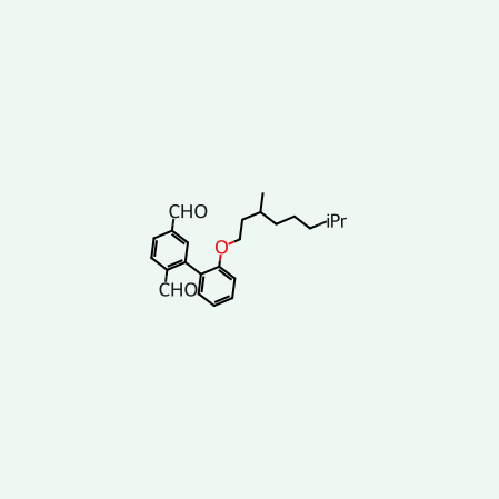 CC(C)CCCC(C)CCOc1ccccc1-c1cc(C=O)ccc1C=O